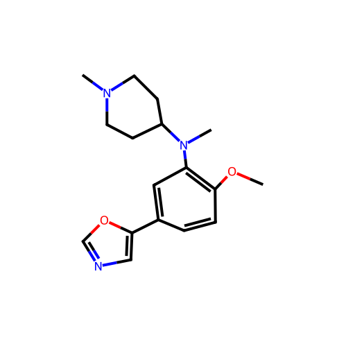 COc1ccc(-c2cnco2)cc1N(C)C1CCN(C)CC1